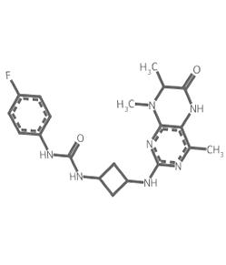 Cc1nc(NC2CC(NC(=O)Nc3ccc(F)cc3)C2)nc2c1NC(=O)C(C)N2C